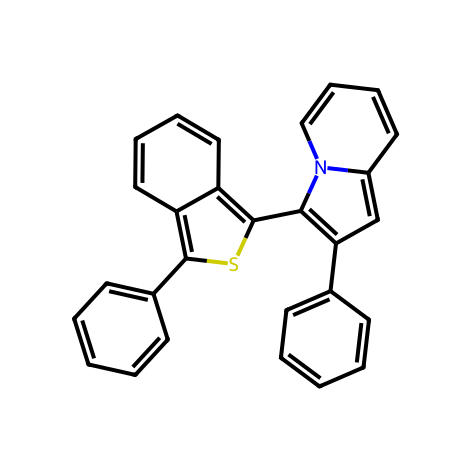 c1ccc(-c2cc3ccccn3c2-c2sc(-c3ccccc3)c3ccccc23)cc1